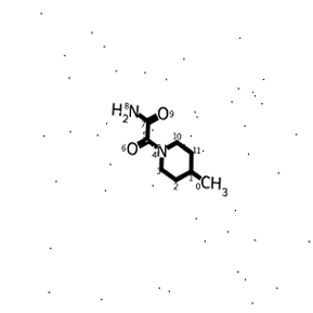 CC1CCN(C(=O)C(N)=O)CC1